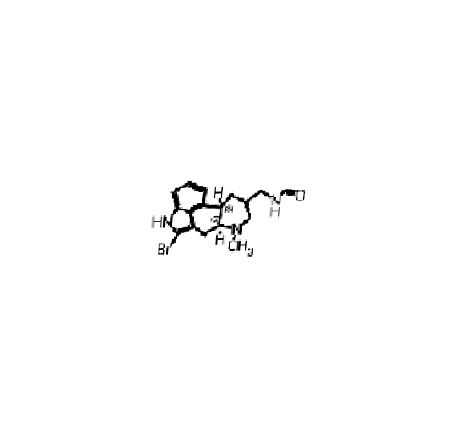 CN1CC(CNC=O)C[C@H]2c3cccc4[nH]c(Br)c(c34)C[C@@H]21